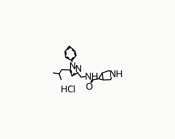 CC(C)Cc1cc(CNC(=O)C2C3CNCC32)nn1-c1ccccc1.Cl